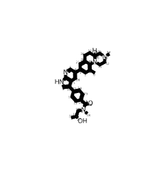 Cc1cc(-c2cnc3[nH]cc(-c4ccc(C(=O)N(C)CC(C)O)cc4)c3c2)cc2c1N1CCN(C)C[C@H]1CC2